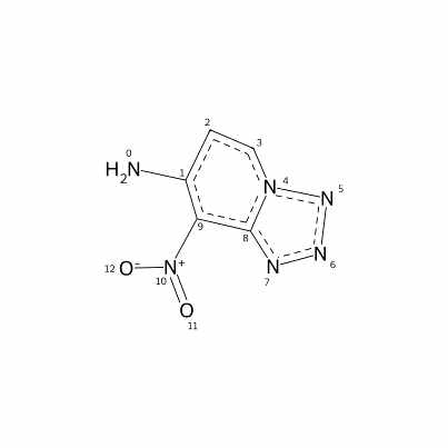 Nc1ccn2nnnc2c1[N+](=O)[O-]